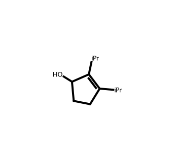 CC(C)C1=C(C(C)C)C(O)CC1